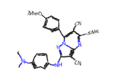 COc1ccc(-c2c(C#N)c(SC)nc3c(C#N)c(Nc4ccc(N(C)C)cc4)nn23)cc1